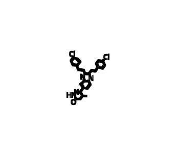 CC1CC(=O)NN=C1c1ccc2nc(C=Cc3ccc(Cl)cc3)c(C=Cc3ccc(Cl)cc3)nc2c1